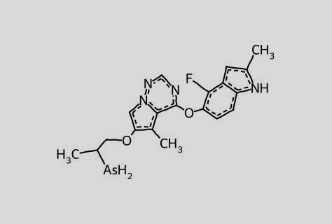 Cc1cc2c(F)c(Oc3ncnn4cc(OCC(C)[AsH2])c(C)c34)ccc2[nH]1